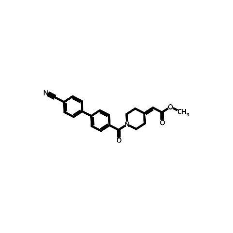 COC(=O)C=C1CCN(C(=O)c2ccc(-c3ccc(C#N)cc3)cc2)CC1